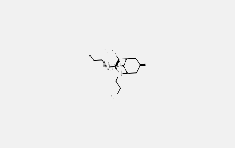 COC1(OC)C2CC(=O)CC1N(CCCl)C(NCCCl)=C2[N+](=O)[O-]